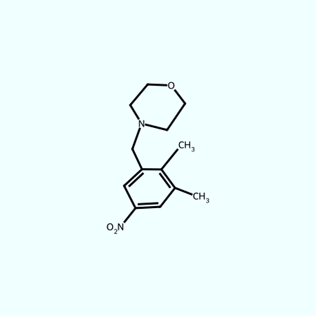 Cc1cc([N+](=O)[O-])cc(CN2CCOCC2)c1C